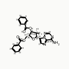 C[C@@]1(F)[C@H](OC(=O)c2ccccc2)[C@@H](COC(=O)c2ccccc2)O[C@H]1c1cnc2c(N)ncnn12